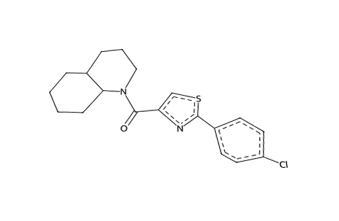 O=C(c1csc(-c2ccc(Cl)cc2)n1)N1CCCC2CCCCC21